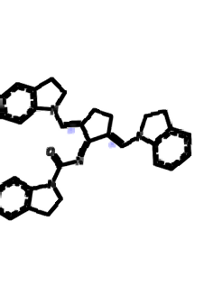 O=C(N=C1/C(=C/N2CCc3ccccc32)CC/C1=C\N1CCc2ccccc21)N1CCc2ccccc21